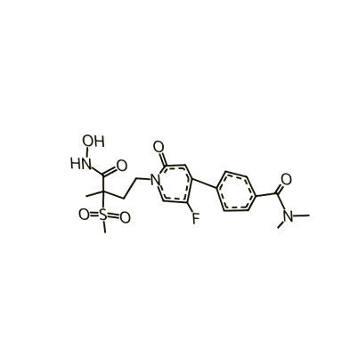 CN(C)C(=O)c1ccc(-c2cc(=O)n(CCC(C)(C(=O)NO)S(C)(=O)=O)cc2F)cc1